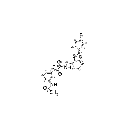 CC(=O)Nc1cccc(NC(=O)C(=O)NCC2CCCc3nc(-c4ccc(F)cc4)sc32)c1